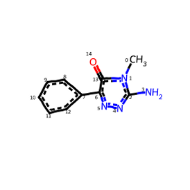 Cn1c(N)nnc(-c2ccccc2)c1=O